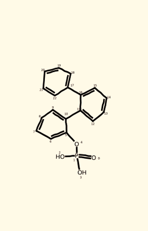 O=P(O)(O)Oc1ccccc1-c1ccccc1-c1ccccc1